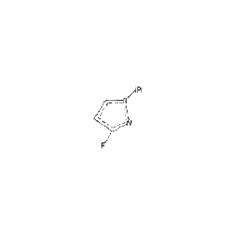 CC(C)n1ccc(F)n1